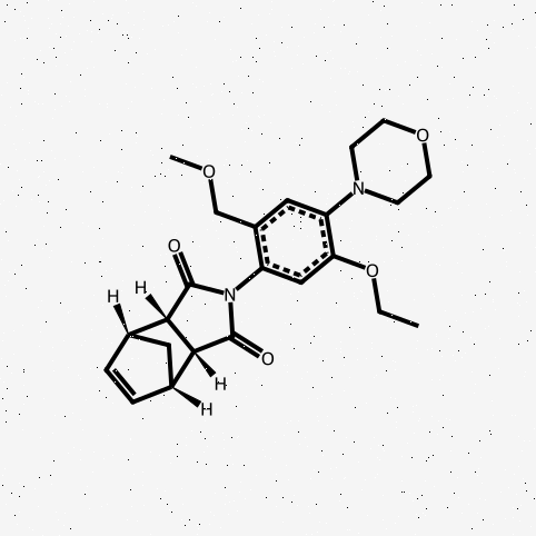 CCOc1cc(N2C(=O)[C@@H]3[C@H](C2=O)[C@@H]2C=C[C@H]3C2)c(COC)cc1N1CCOCC1